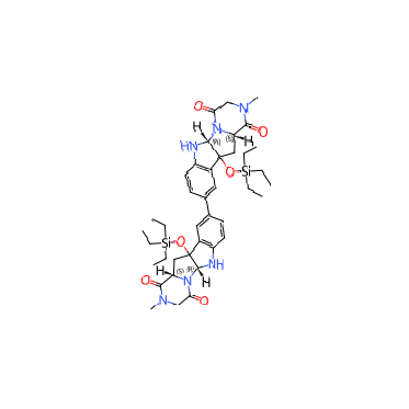 CC[Si](CC)(CC)OC12C[C@H]3C(=O)N(C)CC(=O)N3[C@H]1Nc1ccc(-c3ccc4c(c3)C3(O[Si](CC)(CC)CC)C[C@H]5C(=O)N(C)CC(=O)N5[C@H]3N4)cc12